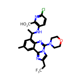 Cc1cc(C(C)Nc2ccc(Cl)nc2C(=O)O)c2nc(N3CCOCC3)n3cc(CC(F)(F)F)nc3c2c1